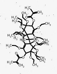 C=C(C)C(=O)OC1C(OCC)=C(OCC)C(OCC)(C(C)(C)C2(OCC)C(OCC)=C(OCC)C(OC(=O)C(=C)C)C(OCC)(OCC)C2(OCC)OCC)C(OCC)(OCC)C1(OCC)OCC